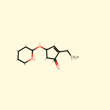 O=C(O)CC1=CC(OC2CCCCO2)CC1=O